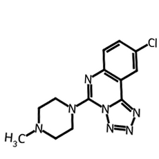 CN1CCN(c2nc3ccc(Cl)cc3c3nnnn23)CC1